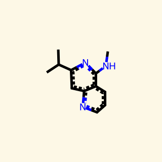 CNc1nc(C(C)C)cc2ncccc12